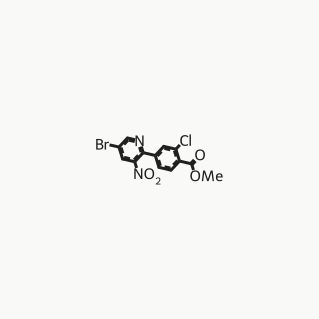 COC(=O)c1ccc(-c2ncc(Br)cc2[N+](=O)[O-])cc1Cl